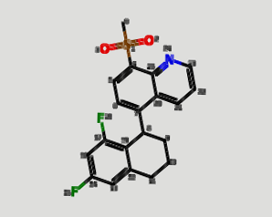 CS(=O)(=O)c1ccc(C2CCCc3cc(F)cc(F)c32)c2cccnc12